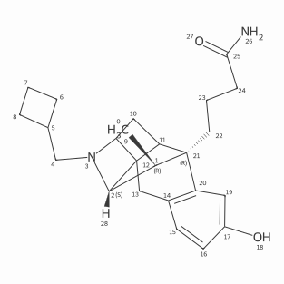 C[C@H]1[C@@H]2N(CC3CCC3)C3CC4C32Cc2ccc(O)cc2[C@]41CCCC(N)=O